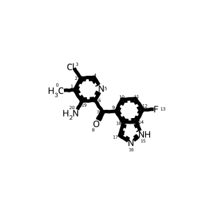 Cc1c(Cl)cnc(C(=O)c2ccc(F)c3[nH]ncc23)c1N